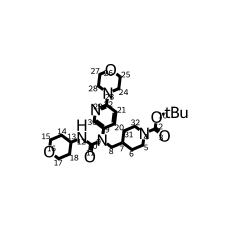 CC(C)(C)OC(=O)N1CCC(CN(C(=O)NC2CCOCC2)c2ccc(N3CCOCC3)nc2)CC1